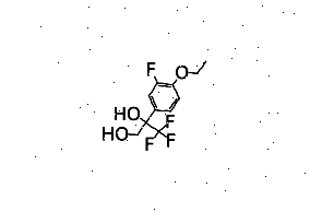 CCOc1ccc(C(O)(CO)C(F)(F)F)cc1F